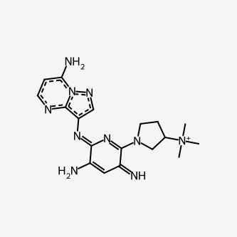 C[N+](C)(C)C1CCN(C2=N/C(=N\c3cnn4c(N)ccnc34)C(N)=CC2=N)C1